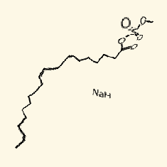 CCCCCCCC/C=C\CCCCCCCC(=O)OS(=O)(=O)OC.[NaH]